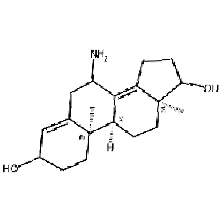 C[C@]12CC[C@@H]3C(=C1CCC2O)C(N)CC1=CC(O)CC[C@@]13C